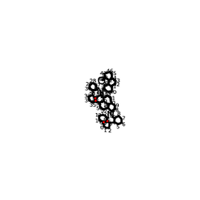 c1ccc(-c2ccccc2N(c2ccccc2)c2ccc3ccc4c(N(c5ccccc5-c5ccccc5)c5ccc6ccc7cccc8oc5c6c78)ccc5ccc2c3c54)cc1